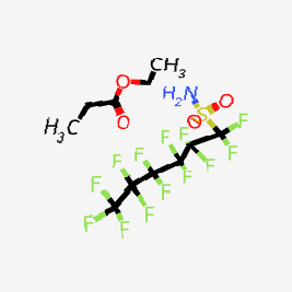 CCOC(=O)CC.NS(=O)(=O)C(F)(F)C(F)(F)C(F)(F)C(F)(F)C(F)(F)C(F)(F)F